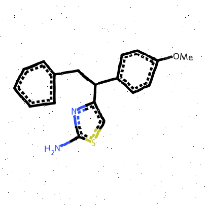 COc1ccc(C(Cc2ccccc2)c2csc(N)n2)cc1